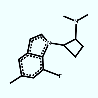 Cc1cc(F)c2c(ccn2C2CCC2N(C)C)c1